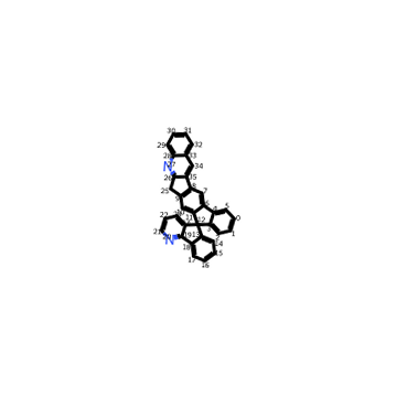 c1ccc2c(c1)-c1cc3c(cc1C21c2ccccc2-c2ncccc21)Cc1nc2ccccc2cc1-3